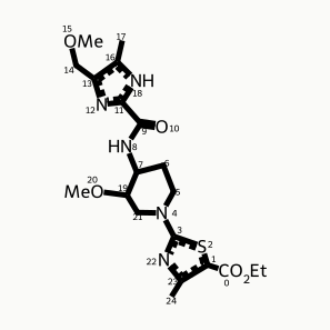 CCOC(=O)c1sc(N2CCC(NC(=O)c3nc(COC)c(C)[nH]3)C(OC)C2)nc1C